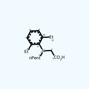 CCCCCN(CC(=O)O)c1c(CC)cccc1CC